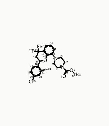 CC(C)(C)OC(=O)N1CCN(c2cccc3c2OC(c2ccc(Cl)cc2F)CC3(F)F)CC1